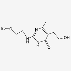 CCOCCNc1nc(C)c(CCO)c(=O)[nH]1